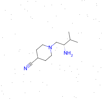 CC(C)[C@H](N)CN1CCC(C#N)CC1